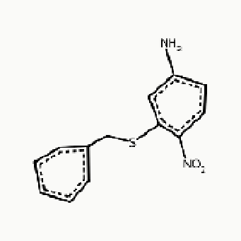 Nc1ccc([N+](=O)[O-])c(SCc2ccccc2)c1